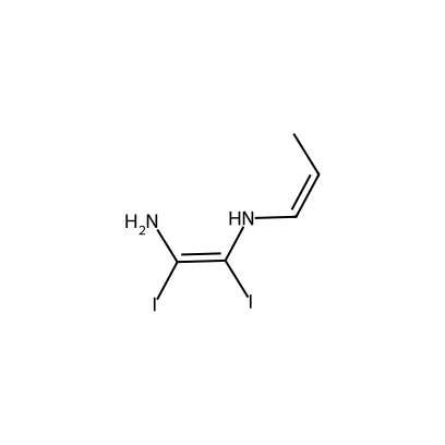 C/C=C\N/C(I)=C(\N)I